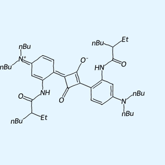 CCCCC(CC)C(=O)NC1=CC(=[N+](CCCC)CCCC)C=C/C1=C1/C(=O)C(c2ccc(N(CCCC)CCCC)cc2NC(=O)C(CC)CCCC)=C1[O-]